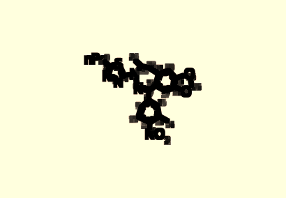 CCCc1nnc(N2N=C(c3ccc([N+](=O)[O-])c(C)c3)c3cc4c(cc3CC2C)OCO4)s1